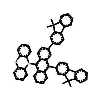 CC1(C)c2ccccc2-c2ccc(-c3ccc4c(N5c6ccccc6Oc6ccccc65)c5ccccc5c(-c5ccc6c(c5)C(C)(C)c5ccccc5-6)c4c3)cc21